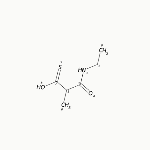 CCNC(=O)C(C)C(O)=S